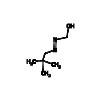 CC(C)(C)CN=NCO